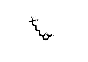 CCC(C)(O)CCCCCC1C=CC(=O)O1